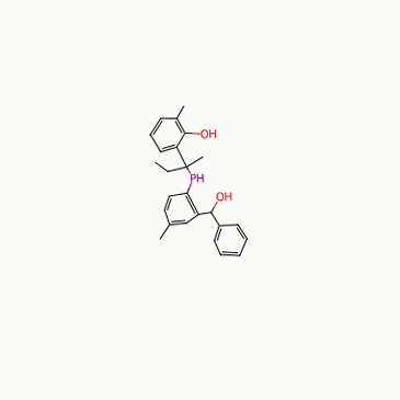 CCC(C)(Pc1ccc(C)cc1C(O)c1ccccc1)c1cccc(C)c1O